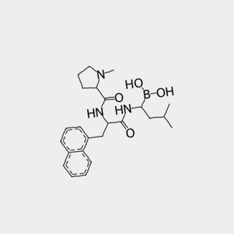 CC(C)CC(NC(=O)C(Cc1cccc2ccccc12)NC(=O)C1CCCN1C)B(O)O